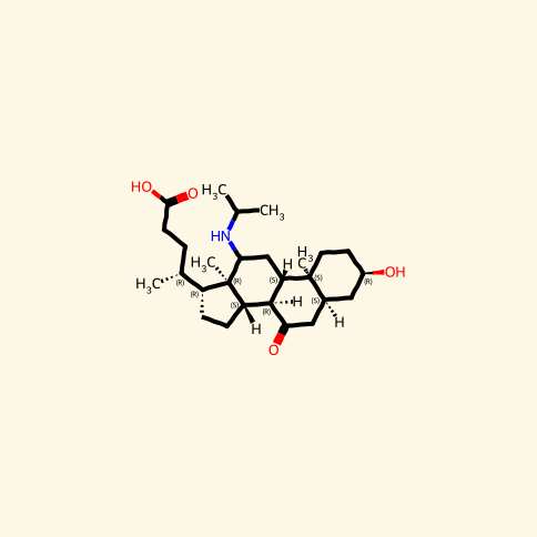 CC(C)NC1C[C@H]2[C@@H](C(=O)C[C@@H]3C[C@H](O)CC[C@@]32C)[C@@H]2CC[C@H]([C@H](C)CCC(=O)O)[C@@]12C